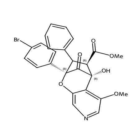 COC(=O)[C@@H]1C(c2ccccc2)[C@]2(c3ccc(Br)cc3)Oc3cncc(OC)c3[C@@]1(O)C2=O